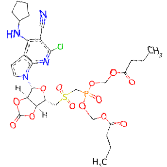 CCCC(=O)OCOP(=O)(CS(=O)(=O)C[C@H]1O[C@@H](n2ccc3c(NC4CCCC4)c(C#N)c(Cl)nc32)[C@@H]2OC(=O)O[C@@H]21)OCOC(=O)CCC